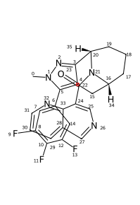 Cn1nc2c(c1-c1cc(F)c(F)c(F)c1)C[C@H]1CCC[C@@H]2N1C(=O)c1cncc2cccnc12